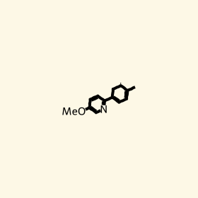 COc1ccc(C2=CC=C(C)[CH]C2)nc1